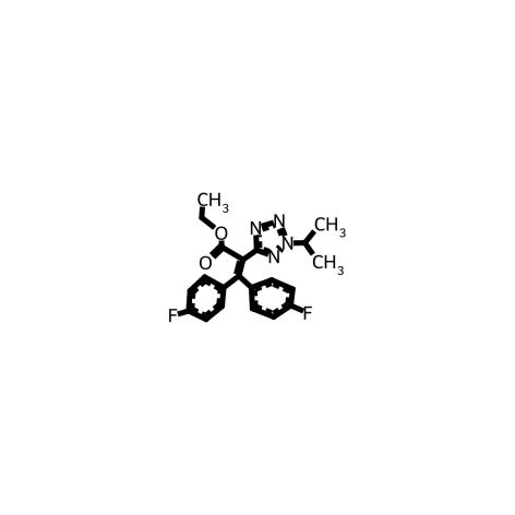 CCOC(=O)C(=C(c1ccc(F)cc1)c1ccc(F)cc1)c1nnn(C(C)C)n1